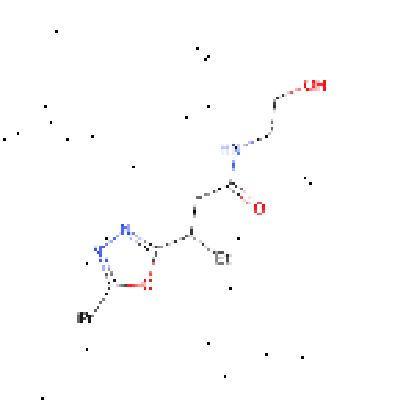 CCC(CC(=O)NCCO)c1nnc(C(C)C)o1